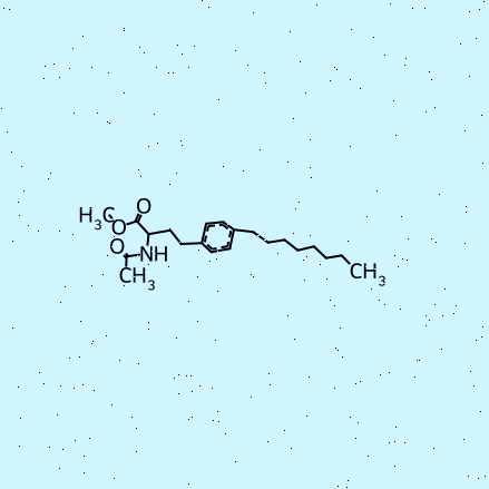 CCCCCCCCc1ccc(CCC(NC(C)=O)C(=O)OC)cc1